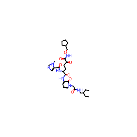 CCC(CC)CNC(=O)Cn1cccc(NC(=O)C(CCC(=O)C(=O)NOCC2CCCC2)NC(=O)c2cncn2C)c1=O